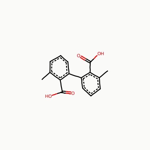 Cc1cccc(-c2cccc(C)c2C(=O)O)c1C(=O)O